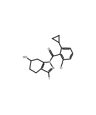 O=C(c1c(Cl)cccc1C1CC1)n1nc(I)c2c1CC(O)CC2